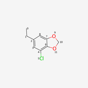 CCc1cc(Cl)c2c(c1)OCO2